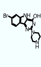 Oc1nc(N2CCNCC2)nc2c1[nH]c1cc(Br)ccc12